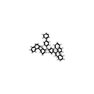 c1ccc(-c2ccc(N(c3ccc(-c4cc5ccccc5c5ccc6ccccc6c45)cc3)c3cccc4c3oc3ccc5ccccc5c34)cc2)cc1